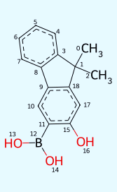 CC1(C)c2ccccc2-c2cc(B(O)O)c(O)cc21